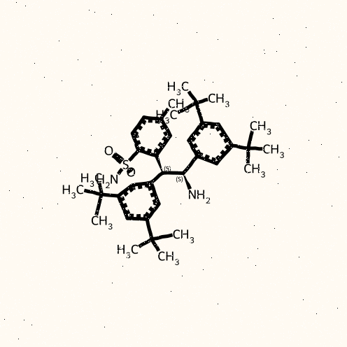 Cc1ccc(S(N)(=O)=O)c([C@H](c2cc(C(C)(C)C)cc(C(C)(C)C)c2)[C@H](N)c2cc(C(C)(C)C)cc(C(C)(C)C)c2)c1